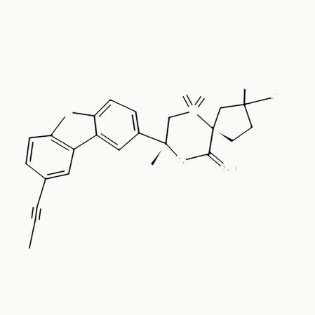 CC#Cc1ccc2sc3ccc([C@]4(C)CS(=O)(=O)[C@@]5(CCC(F)(F)C5)C(=N)N4)cc3c2c1